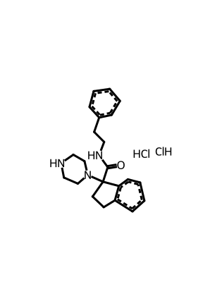 Cl.Cl.O=C(NCCc1ccccc1)C1(N2CCNCC2)CCc2ccccc21